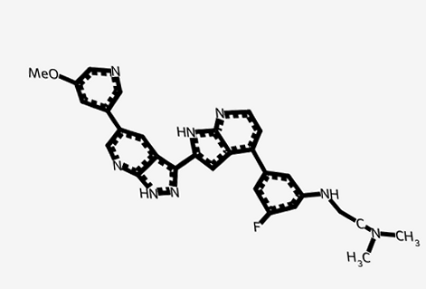 COc1cncc(-c2cnc3[nH]nc(-c4cc5c(-c6cc(F)cc(NCCN(C)C)c6)ccnc5[nH]4)c3c2)c1